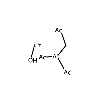 CC(=O)[CH2][Al]([C](C)=O)[C](C)=O.CC(C)O